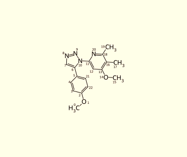 COc1ccc(-c2cnnn2-c2cc(OC)c(C)c(C)n2)cc1